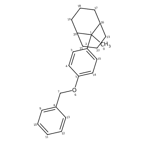 CC1(c2ccc(OCc3ccccc3)cc2)C2CCCC1CCC2